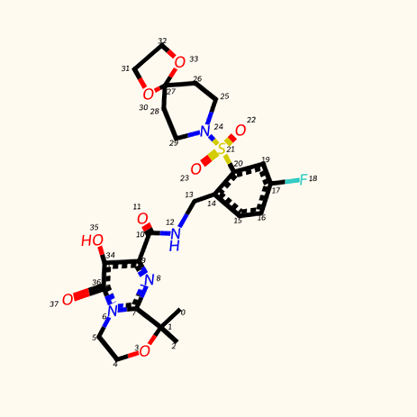 CC1(C)OCCn2c1nc(C(=O)NCc1ccc(F)cc1S(=O)(=O)N1CCC3(CC1)OCCO3)c(O)c2=O